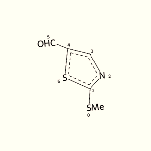 CSc1ncc(C=O)s1